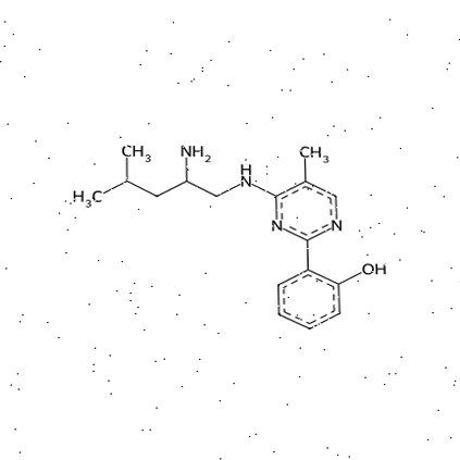 Cc1cnc(-c2ccccc2O)nc1NCC(N)CC(C)C